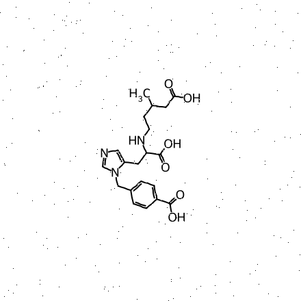 CC(CCNC(Cc1cncn1Cc1ccc(C(=O)O)cc1)C(=O)O)CC(=O)O